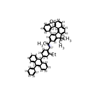 CCc1cc(-c2c3ccccc3c(-c3ccccc3)c3ccccc23)ccc1/C=C(\C)c1ccc2c(c1)C(C)(C)c1ccc3ccc4oc5ccccc5c4c3c1-2